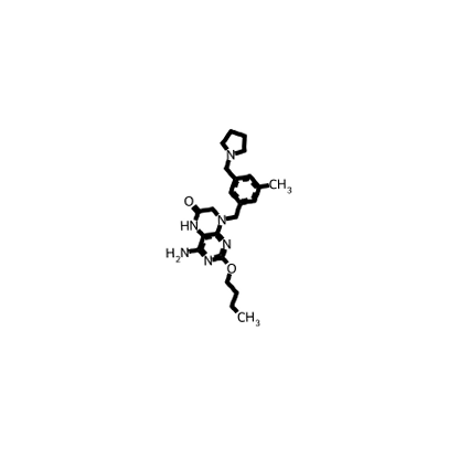 CCCCOc1nc(N)c2c(n1)N(Cc1cc(C)cc(CN3CCCC3)c1)CC(=O)N2